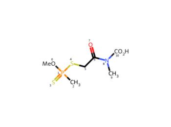 COP(C)(=S)SCC(=O)N(C)C(=O)O